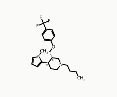 CCCCN1CC[C@@H](c2cccn2C)[C@H](COc2ccc(C(F)(F)F)cc2)C1